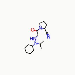 CC(C)N(NCC(=O)N1CCCC1C#N)C1CCCCC1